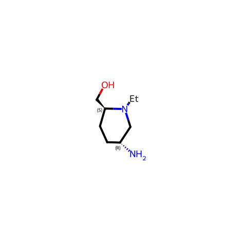 CCN1C[C@H](N)CC[C@H]1CO